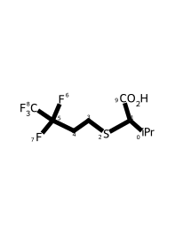 CC(C)C(SCCC(F)(F)C(F)(F)F)C(=O)O